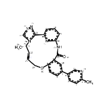 Cc1ccc(-c2ccc3c(c2)C(=O)Nc2cccc(n2)-c2nncn2[C@@H](C)/C=C/CO3)cn1